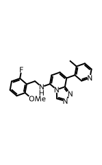 COc1cccc(F)c1CNc1ccc(-c2cnccc2C)c2nncn12